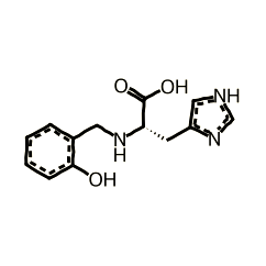 O=C(O)[C@H](Cc1c[nH]cn1)NCc1ccccc1O